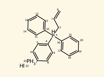 C=CC[PH](c1ccccc1)(c1ccccc1)c1ccccc1.I.P